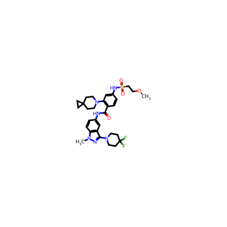 COCCS(=O)(=O)Nc1ccc(C(=O)Nc2ccc3c(c2)c(N2CCC(F)(F)CC2)nn3C)c(N2CCC3(CC2)CC3)c1